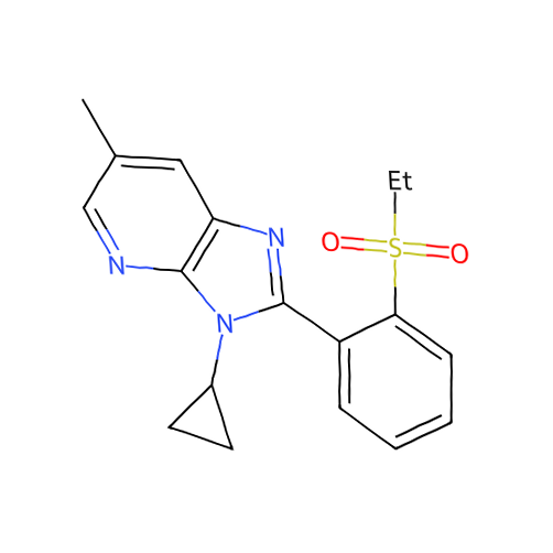 CCS(=O)(=O)c1ccccc1-c1nc2cc(C)cnc2n1C1CC1